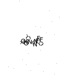 Cc1ccc(Nc2cnc(-c3ccccc3C(F)(F)F)nc2)c(C(=O)OC(C)(C)C)c1